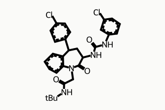 CC(C)(C)NC(=O)CN1C(=O)C(NC(=O)Nc2cccc(Cl)c2)CC(c2ccc(Cl)cc2)c2ccccc21